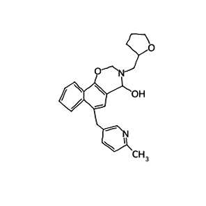 Cc1ccc(Cc2cc3c(c4ccccc24)OCN(CC2CCCO2)C3O)cn1